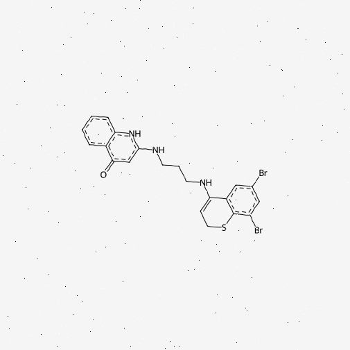 O=c1cc(NCCCNC2=CCSc3c(Br)cc(Br)cc32)[nH]c2ccccc12